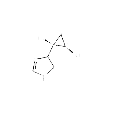 N[C@@H]1C[C@@]1(N)C1CNC=N1